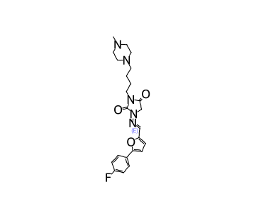 CN1CCN(CCCCN2C(=O)CN(/N=C/c3ccc(-c4ccc(F)cc4)o3)C2=O)CC1